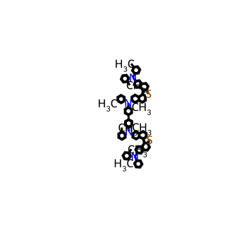 Cc1cccc(N(c2ccc3c(ccc4sc5ccc6cc(N(c7cccc(C)c7)c7ccc(-c8ccc(N(c9ccc%10c(ccc%11sc%12ccc%13cc(N(c%14ccccc%14C)c%14ccccc%14C)ccc%13c%12c%11%10)c9)c9ccccc9C)c(C)c8)cc7C)ccc6c5c43)c2)c2ccccc2C)c1